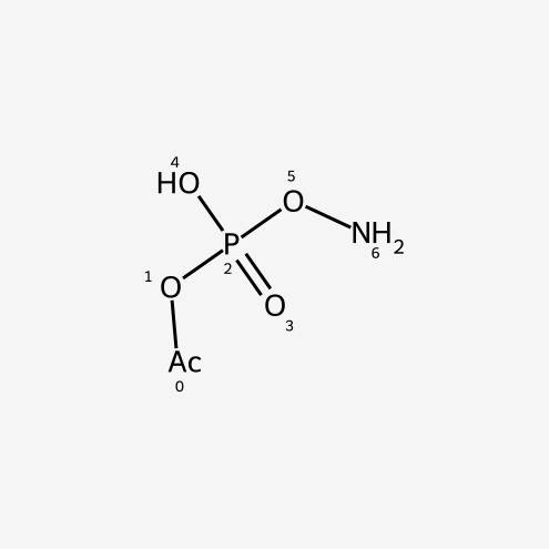 CC(=O)OP(=O)(O)ON